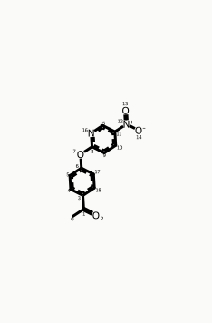 CC(=O)c1ccc(Oc2ccc([N+](=O)[O-])cn2)cc1